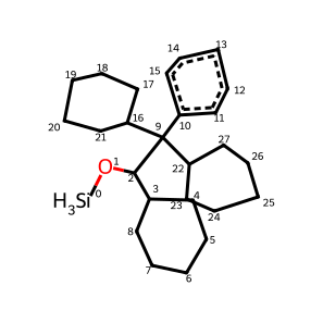 [SiH3]OC(C1CCCCC1)C(c1ccccc1)(C1CCCCC1)C1CCCCC1